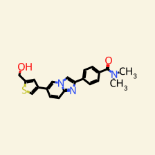 CN(C)C(=O)c1ccc(-c2cn3cc(-c4csc(CO)c4)ccc3n2)cc1